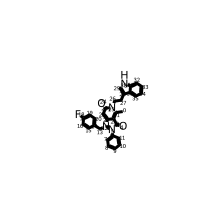 Cc1c2c(=O)n(-c3ccccc3)n(Cc3ccc(F)cc3)c2cc(=O)n1CCc1c[nH]c2ccccc12